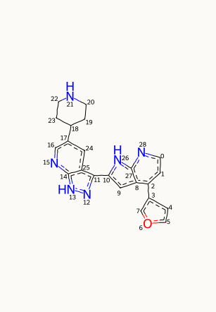 c1cc(-c2ccoc2)c2cc(-c3n[nH]c4ncc(C5CCNCC5)cc34)[nH]c2n1